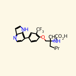 CC(C)CC(C)(COc1ccc(-c2ccnc3cc[nH]c23)cc1C(F)(F)F)NC(=O)O